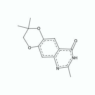 Cc1nc2cc3c(cc2c(=O)[nH]1)OC(C)(C)CO3